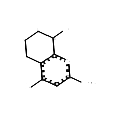 COc1cc(Cl)c2c(n1)C(O)CCC2